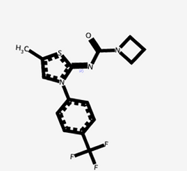 Cc1cn(-c2ccc(C(F)(F)F)cc2)/c(=N/C(=O)N2CCC2)s1